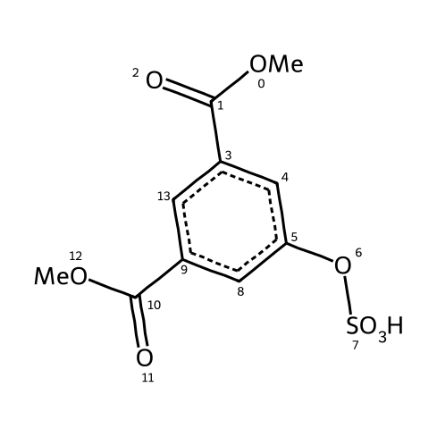 COC(=O)c1cc(OS(=O)(=O)O)cc(C(=O)OC)c1